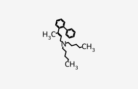 CCCCCN(CC=C(C)c1ccccc1-c1ccccc1)CCCCC